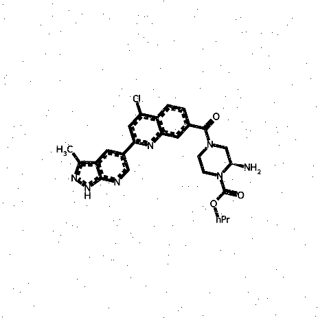 CCCOC(=O)N1CCN(C(=O)c2ccc3c(Cl)cc(-c4cnc5[nH]nc(C)c5c4)nc3c2)C[C@H]1N